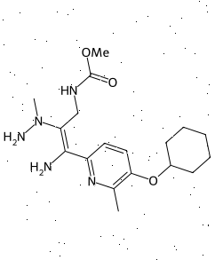 COC(=O)NC/C(=C(/N)c1ccc(OC2CCCCC2)c(C)n1)N(C)N